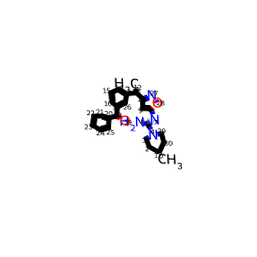 CC1CCN(/C(N)=N/c2cc(C(C)c3cccc(C(=O)c4ccccc4)c3)no2)CC1